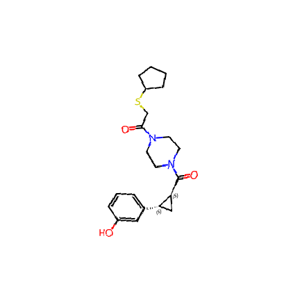 O=C(CSC1CCCC1)N1CCN(C(=O)[C@H]2C[C@@H]2c2cccc(O)c2)CC1